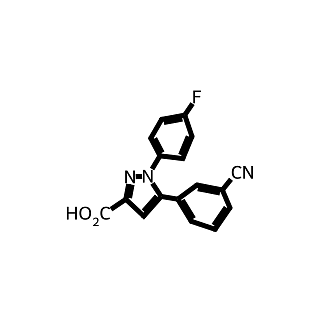 N#Cc1cccc(-c2cc(C(=O)O)nn2-c2ccc(F)cc2)c1